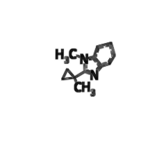 Cn1c(C2(C)CC2)nc2ccccc21